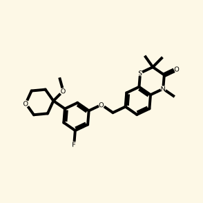 COC1(c2cc(F)cc(OCc3ccc4c(c3)SC(C)(C)C(=O)N4C)c2)CCOCC1